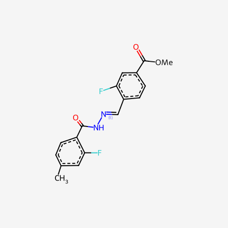 COC(=O)c1ccc(/C=N/NC(=O)c2ccc(C)cc2F)c(F)c1